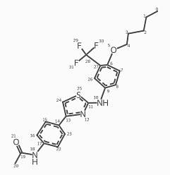 CCCCCOc1ccc(Nc2nc(-c3ccc(NC(C)=O)cc3)cs2)cc1C(F)(F)F